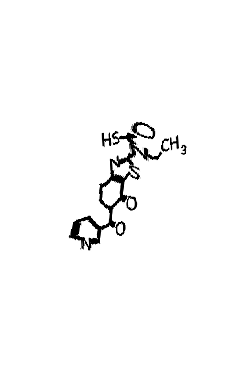 CCN(C(=O)S)c1nc2c(s1)C(=O)C(C(=O)c1cccnc1)CC2